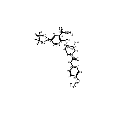 CC1(C)OB(c2cnc(O[C@H]3CCN(C(=O)Cc4ccc(OC(F)(F)F)cc4)C[C@H]3F)c(C(N)=O)c2)OC1(C)C